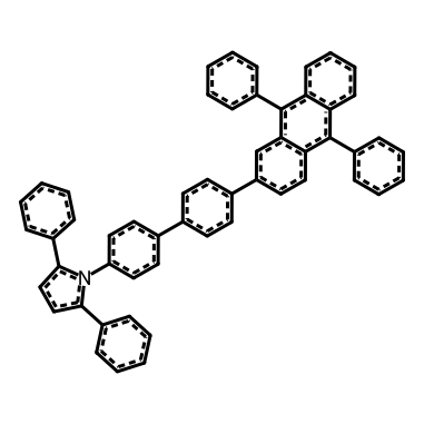 c1ccc(-c2c3ccccc3c(-c3ccccc3)c3cc(-c4ccc(-c5ccc(-n6c(-c7ccccc7)ccc6-c6ccccc6)cc5)cc4)ccc23)cc1